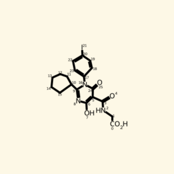 O=C(O)CNC(=O)c1c(O)nc(C2CCCCC2)n(-c2ccc(I)cc2)c1=O